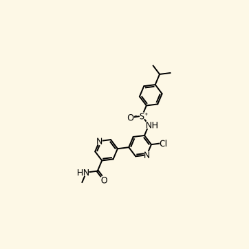 CNC(=O)c1cncc(-c2cnc(Cl)c(N[S+]([O-])c3ccc(C(C)C)cc3)c2)c1